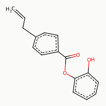 C=CCc1ccc(C(=O)Oc2ccccc2O)cc1